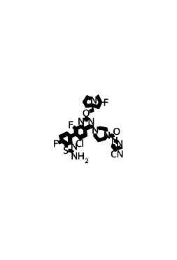 N#Cc1cnn(C(=O)N2CCCN(c3nc(OC[C@@]45CCCN4C[C@H](F)C5)nc4c(F)c(-c5ccc(F)c6sc(N)nc56)c(Cl)cc34)CC2)c1